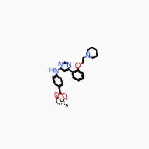 COC(=O)c1ccc(Nc2cc(-c3ccccc3OCCN3CCCCC3)ncn2)cc1